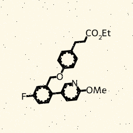 CCOC(=O)CCc1ccc(OCc2cc(F)ccc2-c2ccc(OC)nc2)cc1